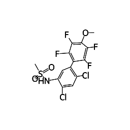 COc1c(F)c(F)c(-c2cc(NS(C)(=O)=O)c(Cl)cc2Cl)c(F)c1F